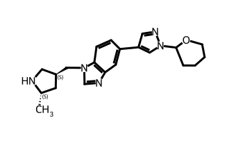 C[C@H]1C[C@H](Cn2cnc3cc(-c4cnn(C5CCCCO5)c4)ccc32)CN1